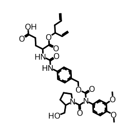 C=CCC(C=C)OC(=O)C(CCC(=O)O)NC(=O)Nc1ccc(COC(=O)N(C(=O)N2CCCC2CO)c2ccc(OC)c(OC)c2)cc1